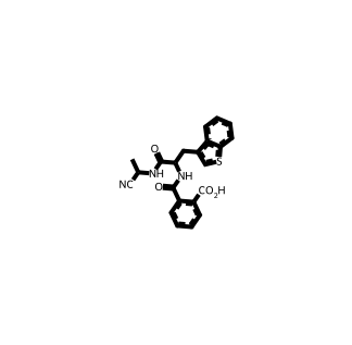 CC(C#N)NC(=O)C(Cc1csc2ccccc12)NC(=O)c1ccccc1C(=O)O